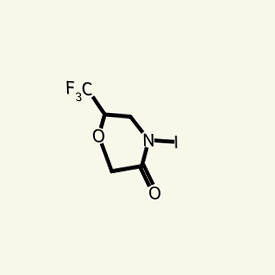 O=C1COC(C(F)(F)F)CN1I